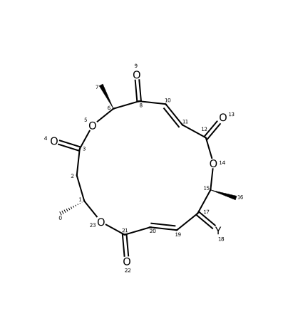 C[C@@H]1CC(=O)O[C@@H](C)C(=O)/C=C/C(=O)O[C@@H](C)[C](=[Y])/C=C/C(=O)O1